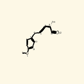 COc1ccc(CC=C[C@H](C)C=O)cc1